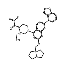 C=C(F)C(=O)N1CCN(c2nc(OCC34CCCN3CCC4)nc3cc(-c4cccc5sccc45)ccc23)C[C@@H]1CC#N